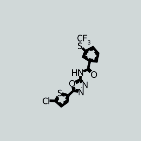 O=C(Nc1nnc(-c2ccc(Cl)s2)o1)c1cccc(SC(F)(F)F)c1